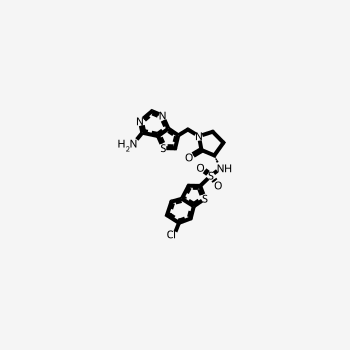 Nc1ncnc2c(CN3CC[C@H](NS(=O)(=O)c4cc5ccc(Cl)cc5s4)C3=O)csc12